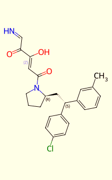 Cc1cccc([C@@H](C[C@H]2CCCN2C(=O)/C=C(\O)C(=O)C=N)c2ccc(Cl)cc2)c1